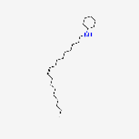 CCCCCCCC/C=C\CCCCCCCCNC1CCCCC1